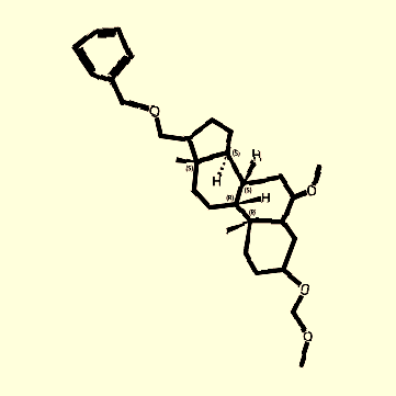 COCOC1CC[C@@]2(C)C(C1)C(OC)C[C@@H]1[C@H]2CC[C@]2(C)C(COCc3ccccc3)CC[C@@H]12